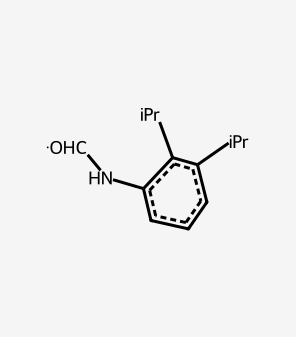 CC(C)c1cccc(N[C]=O)c1C(C)C